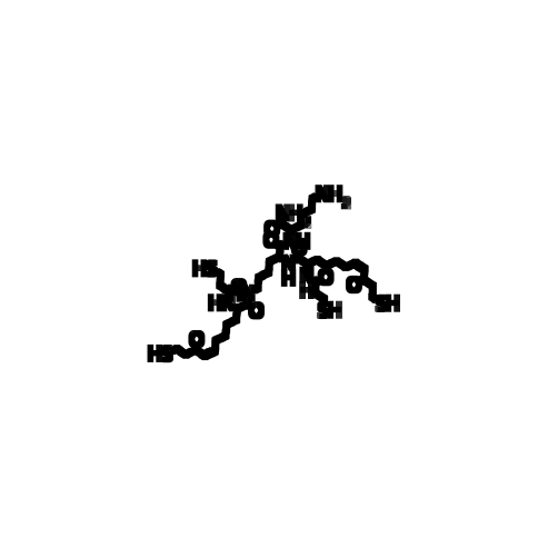 NCCCCC(NC(=O)C(CCCCNC(=O)C(CCCC/C=C\C(=O)CCS)NC(=O)CCS)NC(=O)C(CCCC/C=C\C(=O)CCS)NC(=O)CCS)C(N)=O